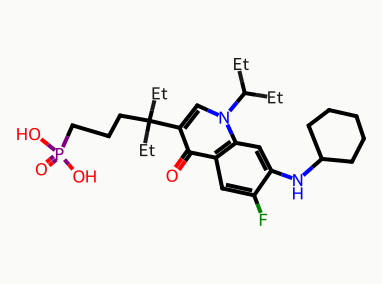 CCC(CC)n1cc(C(CC)(CC)CCCP(=O)(O)O)c(=O)c2cc(F)c(NC3CCCCC3)cc21